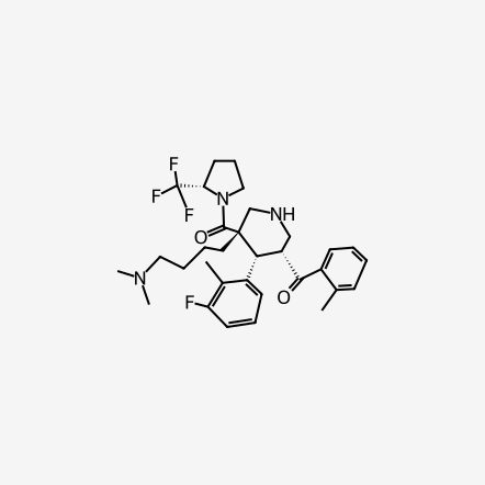 Cc1ccccc1C(=O)[C@H]1CNC[C@@](CCCCN(C)C)(C(=O)N2CCC[C@H]2C(F)(F)F)[C@H]1c1cccc(F)c1C